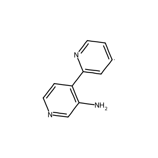 Nc1cnccc1-c1c[c]ccn1